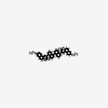 CCCc1ccc2c(ccc3oc(=O)c(-c4cccc5c(-c6cccc7c(-c8cc9c(ccc%10cc(CCC)ccc%109)oc8=O)cccc67)cccc45)cc32)c1